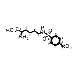 NC(CCCCNS(=O)(=O)c1ccc([N+](=O)[O-])cc1)C(=O)O